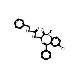 CN1C(=O)C(NC(=S)NCc2ccccc2)N=C(c2ccccc2)c2cc(Cl)ccc21